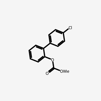 COC(=O)Oc1ccccc1-c1ccc(Cl)cc1